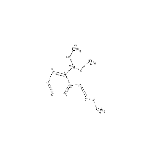 CCC=[C]c1ccccc1N(CC)CC